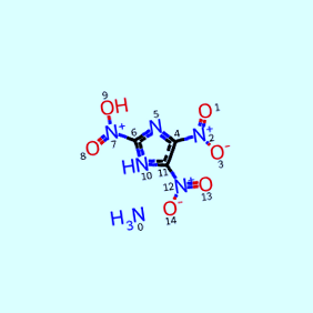 N.O=[N+]([O-])c1nc([N+](=O)O)[nH]c1[N+](=O)[O-]